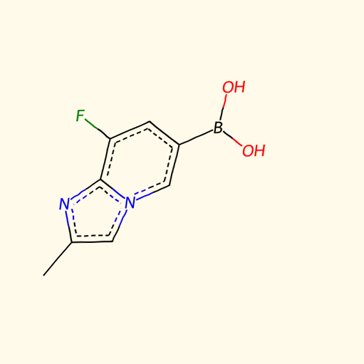 Cc1cn2cc(B(O)O)cc(F)c2n1